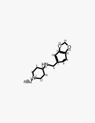 CCCCN1CCC(NCc2ccc3c(c2)OCO3)CC1